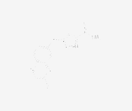 NC(=O)c1cn(Cc2ccc3ncc(Cl)cc3c2)nn1